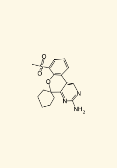 CS(=O)(=O)c1cccc2c1OC1(CCCCC1)c1nc(N)ncc1-2